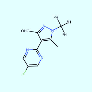 [2H]C([2H])([2H])n1nc(C=O)c(-c2ncc(F)cn2)c1C